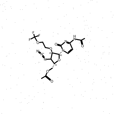 CC(=O)Nc1ccn([C@@H]2O[C@H](COC(C)=O)C(N=[N+]=[N-])[C@H]2OCCOC(F)(F)F)c(=O)n1